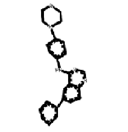 c1ccc(-c2ccc3ncnc(Nc4ccc(N5CCOCC5)cc4)c3c2)cc1